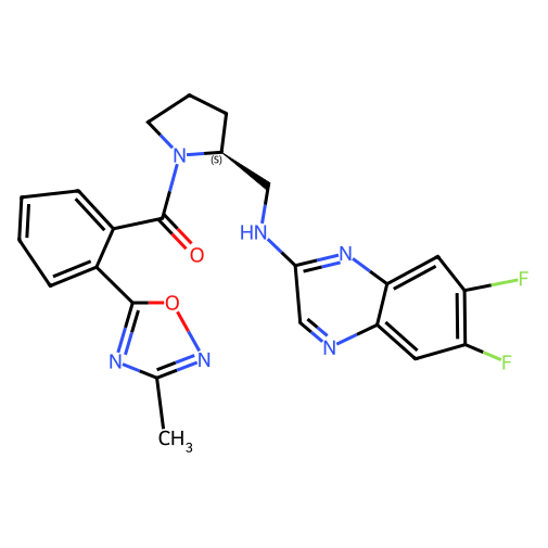 Cc1noc(-c2ccccc2C(=O)N2CCC[C@H]2CNc2cnc3cc(F)c(F)cc3n2)n1